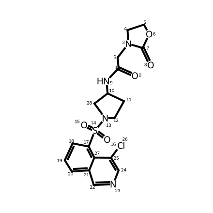 O=C(CN1CCOC1=O)NC1CCN(S(=O)(=O)c2cccc3cncc(Cl)c23)C1